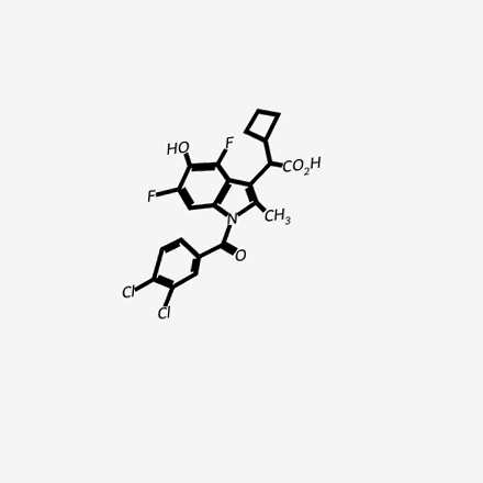 Cc1c(C(C(=O)O)C2CCC2)c2c(F)c(O)c(F)cc2n1C(=O)c1ccc(Cl)c(Cl)c1